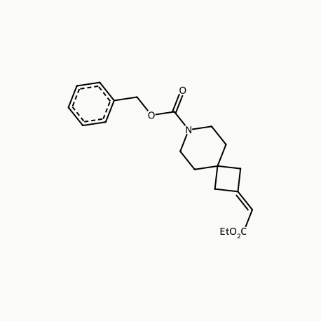 CCOC(=O)C=C1CC2(CCN(C(=O)OCc3ccccc3)CC2)C1